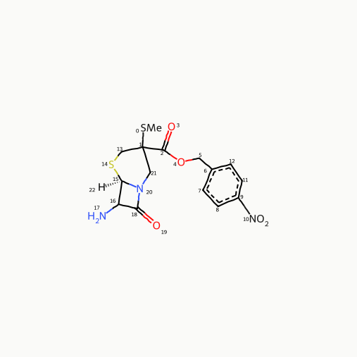 CSC1(C(=O)OCc2ccc([N+](=O)[O-])cc2)CS[C@@H]2C(N)C(=O)N2C1